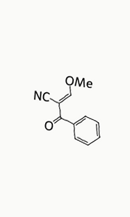 COC=C(C#N)C(=O)c1ccccc1